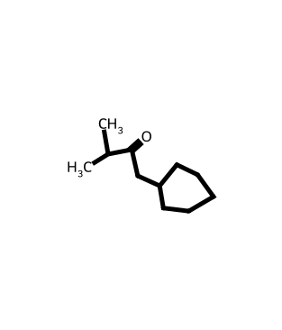 CC(C)C(=O)CC1CCCCC1